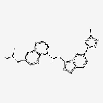 Cn1cc(-c2ccc3nnc(CNc4ccnc5cc(OC(F)F)cnc45)n3n2)cn1